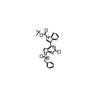 CC(C)(C)OC(=O)n1cc(-c2nc(Cl)nc3c2ccn3S(=O)(=O)Cc2ccccc2)c2ccccc21